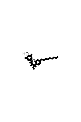 CCCCCCCCCc1ccc2c(c1)OC(C)(c1cc(C)c(O)c(C)c1)C(C)C2(C)CC